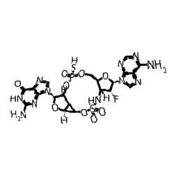 Nc1nc2c(ncn2[C@@H]2O[C@@H]3C4OS(=O)(=O)N[C@@H]5C(COP(=O)(S)O[C@@H]2C43)O[C@@H](n2cnc3c(N)ncnc32)[C@@H]5F)c(=O)[nH]1